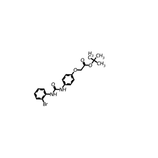 CC(C)(C)OC(=O)COc1ccc(NC(=O)Nc2ccccc2Br)cc1